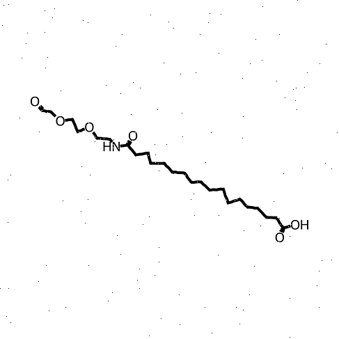 O=CCOCCOCCNC(=O)CCCCCCCCCCCCCCCCC(=O)O